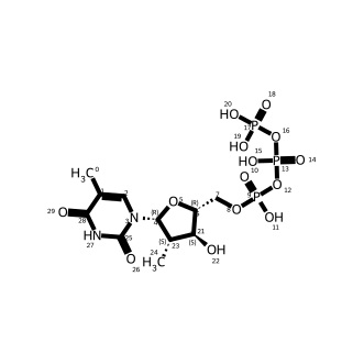 Cc1cn([C@@H]2O[C@H](COP(=O)(O)OP(=O)(O)OP(=O)(O)O)[C@@H](O)[C@@H]2C)c(=O)[nH]c1=O